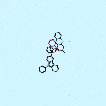 CC1C=C(c2ccccc2)C2C(C1)SC1C=CC=CC1C21C2=CCCC=C2SC2C=C(c3ccc4c(c3)c3c(n4C4=CCCC=C4)CCC=C3)C=CC21